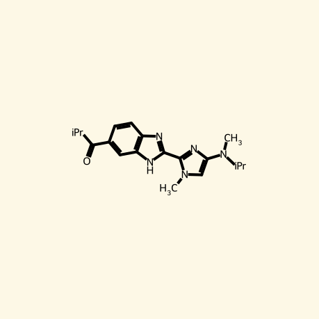 CC(C)C(=O)c1ccc2nc(-c3nc(N(C)C(C)C)cn3C)[nH]c2c1